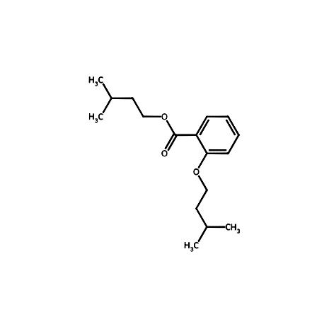 CC(C)CCOC(=O)c1ccccc1OCCC(C)C